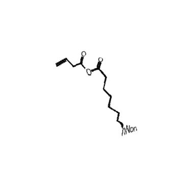 C=CCC(=O)OC(=O)CCCCCCCCCCCCCCC